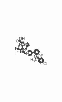 C[C@]1(c2ccc(Cl)cc2F)Oc2cccc(C3CCN(Cc4nc(C(F)(F)F)c(-c5nc(C(=O)O)co5)n4C[C@@H]4CCO4)CC3)c2O1